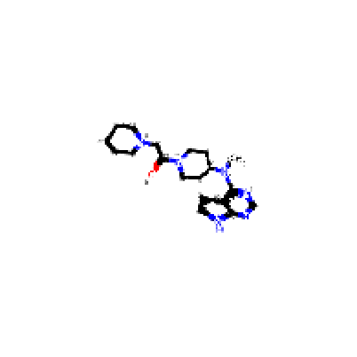 CN(c1ncnc2[nH]ccc12)C1CCN(C(=O)CN2CCCCC2)CC1